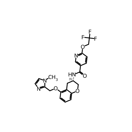 Cn1ccnc1COc1cccc2c1C[C@H](NC(=O)c1ccc(OCC(F)(F)F)nc1)CO2